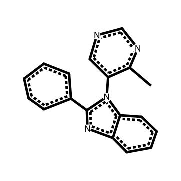 Cc1ncncc1-n1c(-c2ccccc2)nc2ccccc21